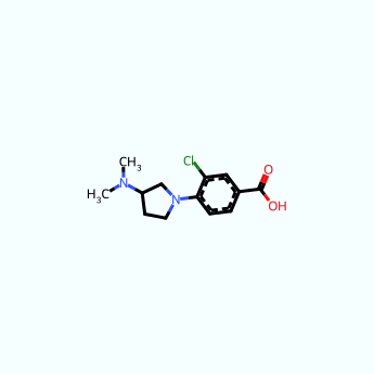 CN(C)C1CCN(c2ccc(C(=O)O)cc2Cl)C1